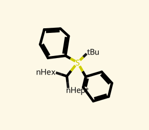 CCCCCCCC(CCCCCC)S(c1ccccc1)(c1ccccc1)C(C)(C)C